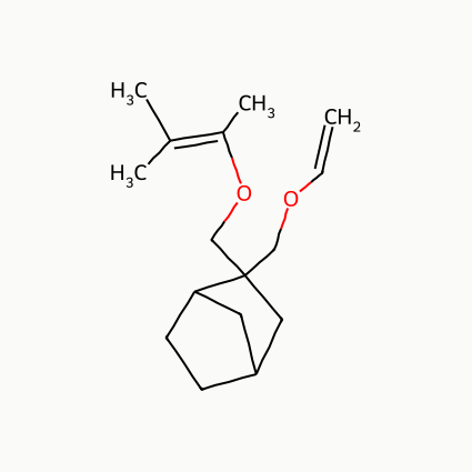 C=COCC1(COC(C)=C(C)C)CC2CCC1C2